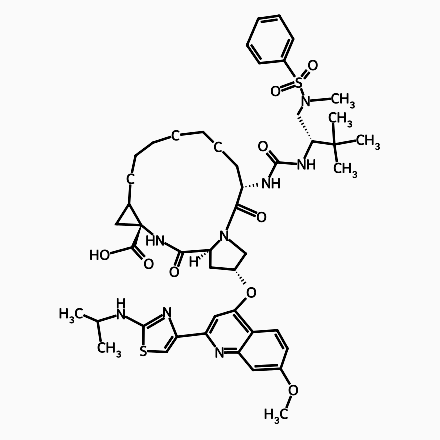 COc1ccc2c(O[C@@H]3C[C@H]4C(=O)N[C@]5(C(=O)O)CC5CCCCCCC[C@H](NC(=O)N[C@H](CN(C)S(=O)(=O)c5ccccc5)C(C)(C)C)C(=O)N4C3)cc(-c3csc(NC(C)C)n3)nc2c1